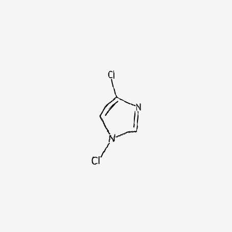 Clc1cn(Cl)cn1